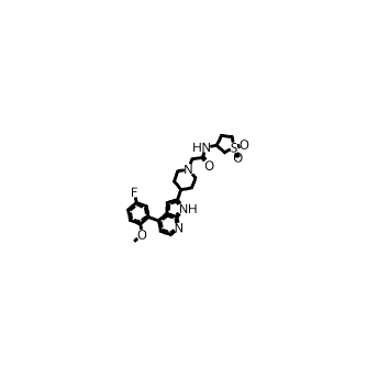 COc1ccc(F)cc1-c1ccnc2[nH]c(C3CCN(CC(=O)NC4CCS(=O)(=O)C4)CC3)cc12